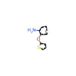 Nc1ccccc1Oc1cccs1